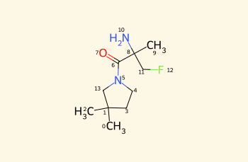 CC1(C)CCN(C(=O)C(C)(N)CF)C1